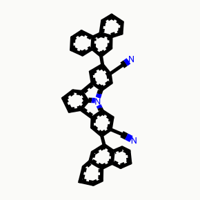 N#Cc1cc2c(cc1-c1cc3ccccc3c3ccccc13)c1cccc3c4cc(-c5cc6ccccc6c6ccccc56)c(C#N)cc4n2c13